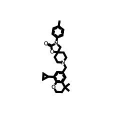 Cc1ccc(N2CC3(CCN(Cc4cc(C5CC5)c5c(c4)C(C)(C)CCO5)CC3)OC2=O)cc1